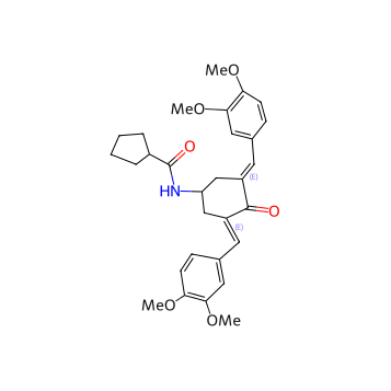 COc1ccc(/C=C2\CC(NC(=O)C3CCCC3)C/C(=C\c3ccc(OC)c(OC)c3)C2=O)cc1OC